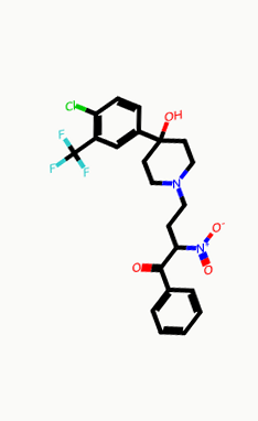 O=C(c1ccccc1)C(CCN1CCC(O)(c2ccc(Cl)c(C(F)(F)F)c2)CC1)[N+](=O)[O-]